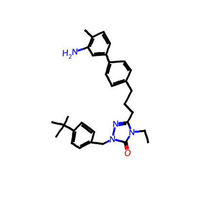 CCn1c(CCCc2ccc(-c3ccc(C)c(N)c3)cc2)nn(Cc2ccc(C(C)(C)C)cc2)c1=O